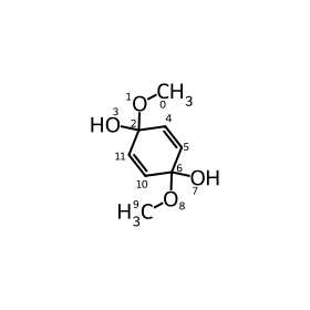 COC1(O)C=CC(O)(OC)C=C1